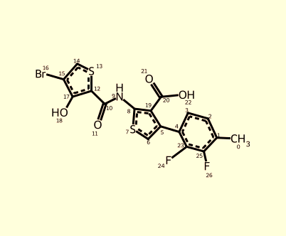 Cc1ccc(-c2csc(NC(=O)c3scc(Br)c3O)c2C(=O)O)c(F)c1F